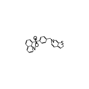 O=S(=O)(c1ccc(CN2C=CC3=CCSC3=C2)cc1)c1cccc2cccnc12